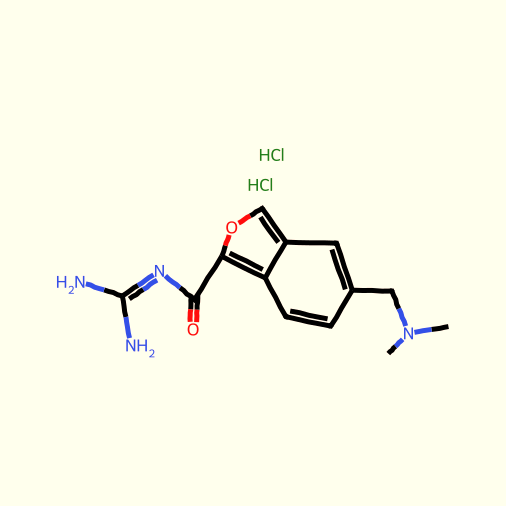 CN(C)Cc1ccc2c(C(=O)N=C(N)N)occ2c1.Cl.Cl